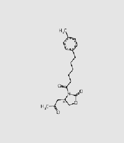 CC(=O)C[C@@H]1COC(=O)N1C(=O)CCCCCc1ccc(C)cc1